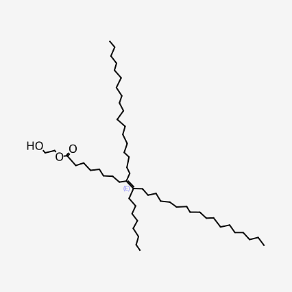 CCCCCCCCCCCCCCCCCC/C(CCCCCCCC)=C(\CCCCCCCCCCCCCCCCCC)CCCCCCCC(=O)OCCO